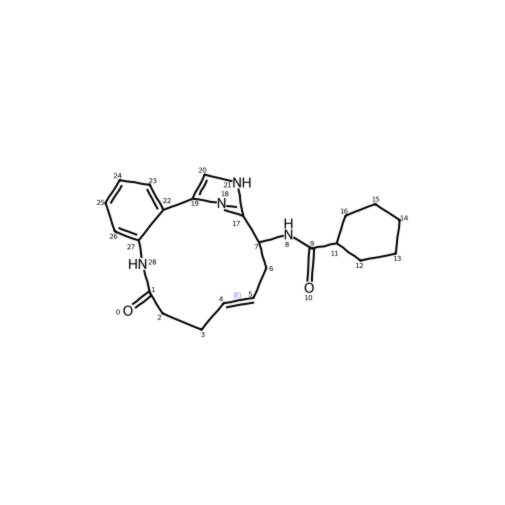 O=C1CC/C=C/CC(NC(=O)C2CCCCC2)c2nc(c[nH]2)-c2ccccc2N1